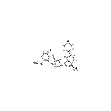 COc1ccc(Cl)cc1Cn1ccc(-c2cn(C)c3ncc(N4CCOCC4)cc23)cc1=O